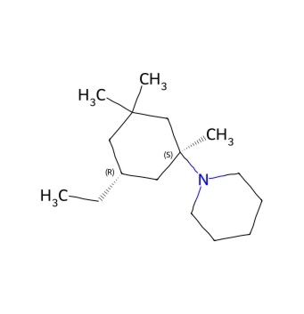 CC[C@@H]1CC(C)(C)C[C@@](C)(N2CCCCC2)C1